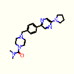 CN(C)C(=O)N1CCN(Cc2ccc(-c3cnc(N4CCCC4)cn3)cc2)CC1